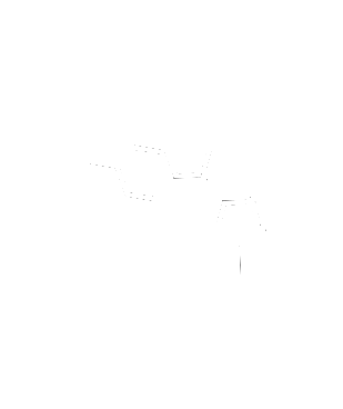 Cc1nnc(-n2ccc3cc(Br)ccc32)o1